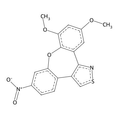 COc1cc(OC)c2c(c1)-c1nscc1-c1ccc([N+](=O)[O-])cc1O2